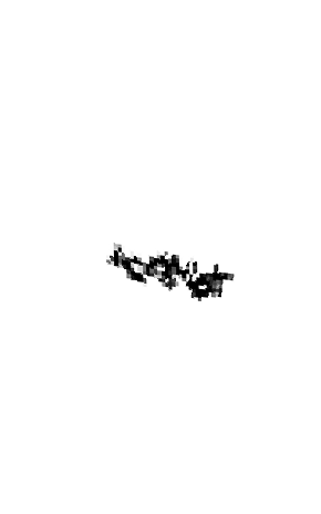 Cc1cn2cc(NC(=O)c3cc4ccc(N5CCC(N(C)C)C5)nc4s3)ccc2n1